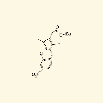 Cc1nn(Cc2ccc([N+](=O)[O-])cc2Cl)c(C)c1CC(=O)OC(C)(C)C